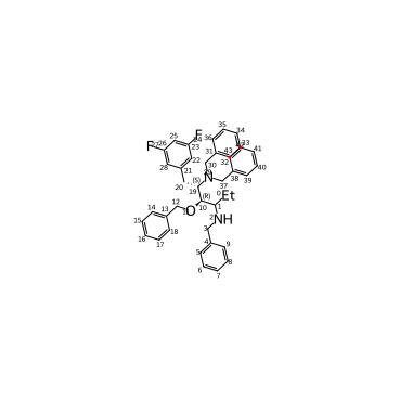 CCC(NCc1ccccc1)[C@@H](OCc1ccccc1)[C@H](Cc1cc(F)cc(F)c1)N(Cc1ccccc1)Cc1ccccc1